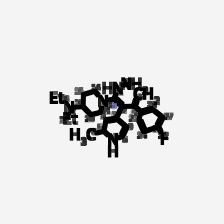 C=C(/C(C1=CC(C)NC=C1)=C(\NN)N1CCC(N(CC)CC)CC1)c1ccc(F)cc1